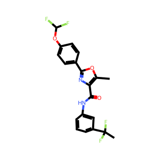 Cc1oc(-c2ccc(OC(F)F)cc2)nc1C(=O)Nc1cccc(C(C)(F)F)c1